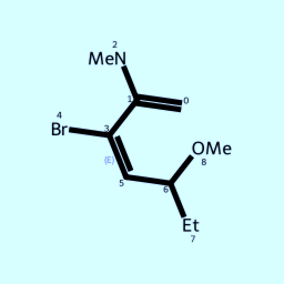 C=C(NC)/C(Br)=C\C(CC)OC